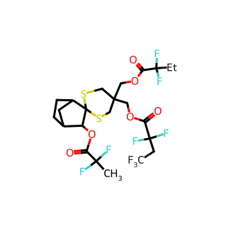 CCC(F)(F)C(=O)OCC1(COC(=O)C(F)(F)CC(F)(F)F)CSC2(SC1)C1CCC(C1)C2OC(=O)C(C)(F)F